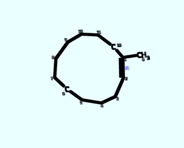 C/C1=C/CCCCCCCCCC1